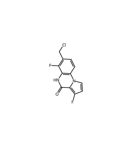 O=c1[nH]c2c(F)c(CCl)ccc2n2ccc(F)c12